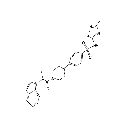 Cc1nsc(NS(=O)(=O)c2ccc(N3CCN(C(=O)C(C)n4ccc5ccccc54)CC3)cc2)n1